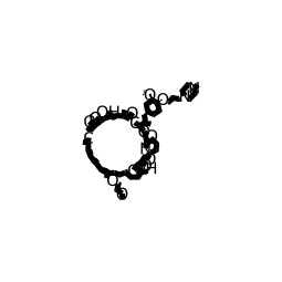 COCCOC1CC2CCC(C)C(O)(O2)C(=O)C(=O)N2CCCCC2C(=O)OC(C(C)C[C@@H]2CC[C@@H](OCCCN3CCN(C)CC3)[C@H](OC)C2)CC(=O)C(C)C=C(C)C(O)C(OC)C(=O)C(C)CC(C)C=CC=CC=C1C